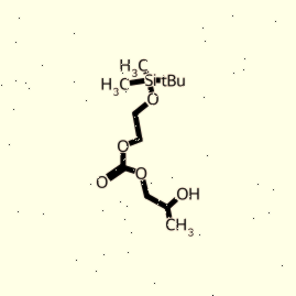 CC(O)COC(=O)OCCO[Si](C)(C)C(C)(C)C